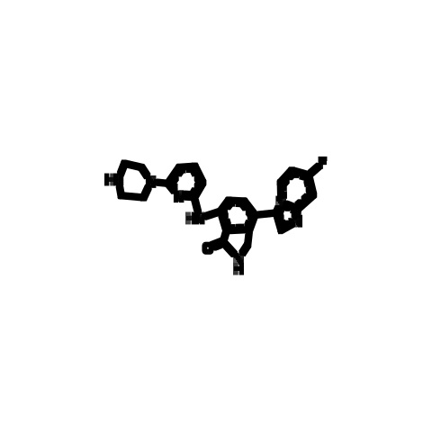 O=C1NCc2c(-c3cnc4cc(F)ccn34)ccc(Nc3cccc(N4CCNCC4)n3)c21